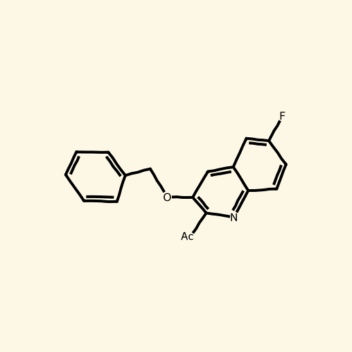 CC(=O)c1nc2ccc(F)cc2cc1OCc1ccccc1